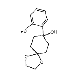 Oc1ccccc1C1(O)CCC2(CC1)OCCO2